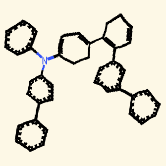 C1=CC(c2cccc(-c3ccccc3)c2)=C(C2=CC=C(N(c3ccccc3)c3ccc(-c4ccccc4)cc3)CC2)CC1